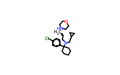 C1COCCN1.C=CCN(CC1CC1)C1(c2ccc(Cl)cc2)CCCCC1